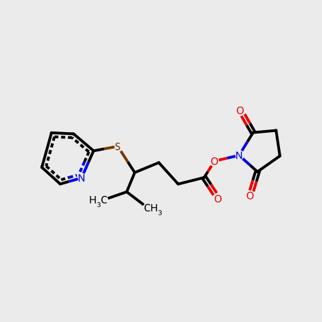 CC(C)C(CCC(=O)ON1C(=O)CCC1=O)Sc1ccccn1